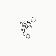 CC(C)(N=NC1CCCCC1)NC(=O)Nc1ccc2ccccc2c1